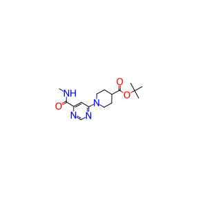 CNC(=O)c1cc(N2CCC(C(=O)OC(C)(C)C)CC2)ncn1